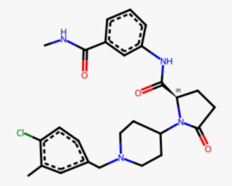 CNC(=O)c1cccc(NC(=O)[C@H]2CCC(=O)N2C2CCN(Cc3ccc(Cl)c(C)c3)CC2)c1